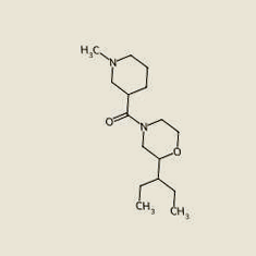 CCC(CC)C1CN(C(=O)C2CCCN(C)C2)CCO1